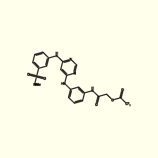 CNS(=O)(=O)c1cccc(Nc2cc(Nc3cccc(NC(=O)COC(=O)C(F)(F)F)c3)ncn2)c1